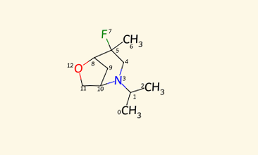 CC(C)N1CC(C)(F)C2CC1CO2